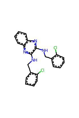 Clc1ccccc1CNc1nc2ccccc2nc1NCc1ccccc1Cl